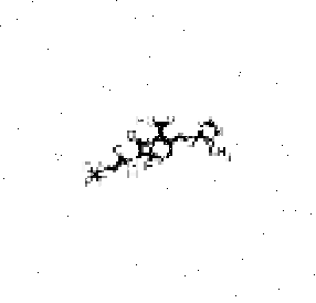 Cn1nnnc1SCC1=C(C(=O)O)N2C(=O)C(NC(=O)CSC(F)(F)F)[C@H]2SC1